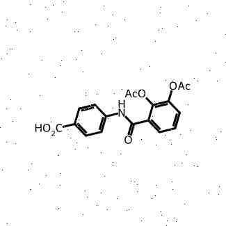 CC(=O)Oc1cccc(C(=O)Nc2ccc(C(=O)O)cc2)c1OC(C)=O